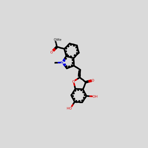 COC(=O)c1cccc2c(C=C3Oc4cc(O)cc(O)c4C3=O)cn(C)c12